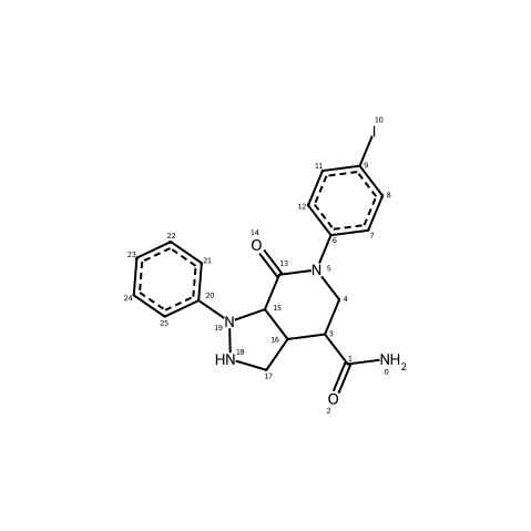 NC(=O)C1CN(c2ccc(I)cc2)C(=O)C2C1CNN2c1ccccc1